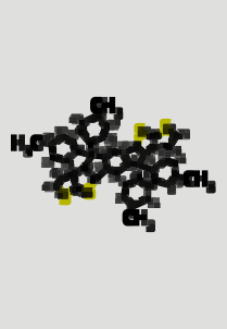 Cc1ccc(C2(c3ccc(C)cc3)c3cc4c(cc3-c3sc5sccc5c32)C(c2ccc(C)cc2)(c2ccc(C)cc2)c2c-4sc3sccc23)cc1